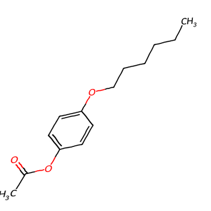 CCCCCCOc1ccc(OC(C)=O)cc1